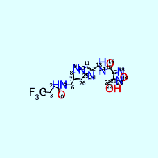 O=C(CCC(F)(F)F)NCc1cnn2cc(CNC(=O)c3nonc3CO)nc2c1